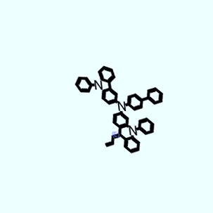 C=C/C=C1\c2ccccc2N(c2ccccc2)c2cc(N(c3ccc(-c4ccccc4)cc3)c3ccc4c(c3)c3ccccc3n4-c3ccccc3)ccc21